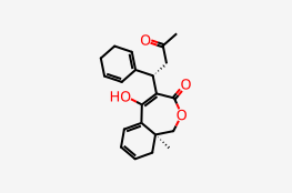 CC(=O)C[C@@H](C1=CCCC=C1)C1=C(O)C2=CC=CC[C@]2(C)COC1=O